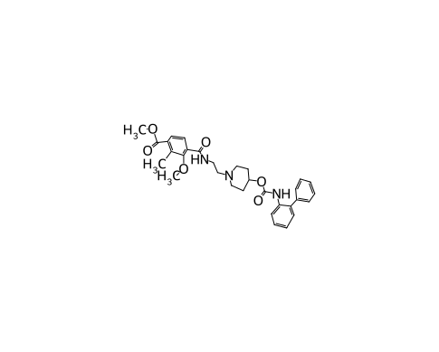 COC(=O)c1ccc(C(=O)NCCN2CCC(OC(=O)Nc3ccccc3-c3ccccc3)CC2)c(OC)c1C